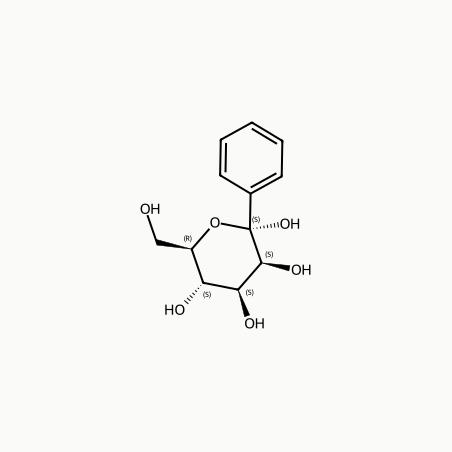 OC[C@H]1O[C@@](O)(c2ccccc2)[C@@H](O)[C@@H](O)[C@@H]1O